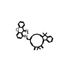 C=C1\C=C/C(/C=N/c2cccc3oc4ccccc4/c(=N/C)c23)=C\CC/C=C2\C(=C/C(=C)C1(C)C)c1ccccc1C2(C)C